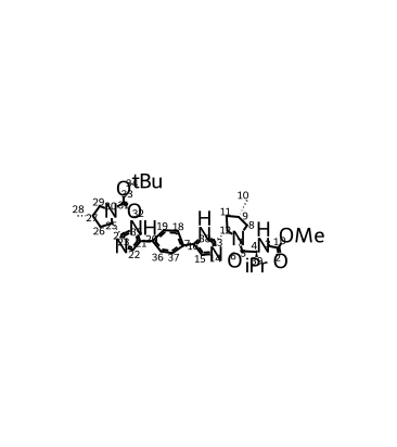 COC(=O)N[C@H](C(=O)N1C[C@@H](C)C[C@H]1c1ncc(-c2ccc(-c3cnc([C@@H]4C[C@H](C)CN4C(=O)OC(C)(C)C)[nH]3)cc2)[nH]1)C(C)C